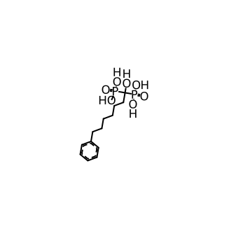 O=P(O)(O)C(O)(CCCCCCc1ccccc1)P(=O)(O)O